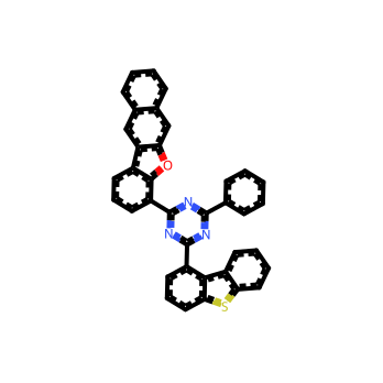 c1ccc(-c2nc(-c3cccc4c3oc3cc5ccccc5cc34)nc(-c3cccc4sc5ccccc5c34)n2)cc1